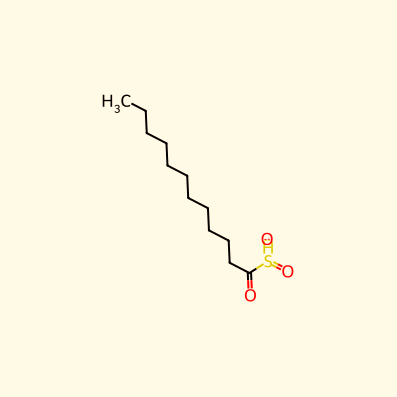 CCCCCCCCCCCC(=O)[SH](=O)=O